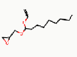 C=COC(CCCCCCCC)OCC1CO1